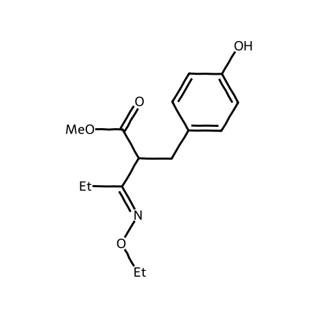 CCON=C(CC)C(Cc1ccc(O)cc1)C(=O)OC